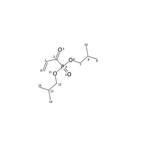 C=CC(=O)P(=O)(OCC(C)C)OCC(C)C